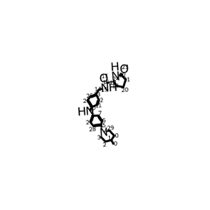 CC1CCN(c2ccc(Nc3ccc(CNC(=O)[C@@H]4CCCC(=O)N4)cc3)cc2)CC1